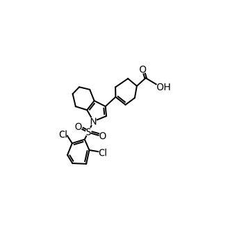 O=C(O)C1CC=C(c2cn(S(=O)(=O)c3c(Cl)cccc3Cl)c3c2CCCC3)CC1